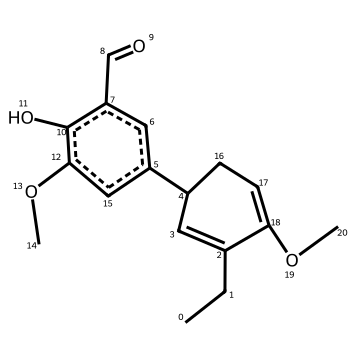 CCC1=CC(c2cc(C=O)c(O)c(OC)c2)CC=C1OC